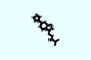 CC(C)NCCC1=NN=C2CC(c3ccsc3)=CC=C12